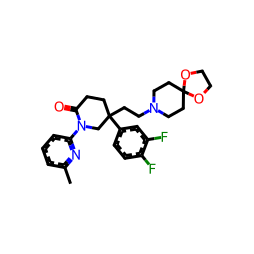 Cc1cccc(N2CC(CCN3CCC4(CC3)OCCO4)(c3ccc(F)c(F)c3)CCC2=O)n1